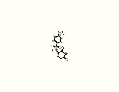 O=C1CCC(NS(=O)(=O)c2ccc([N+](=O)[O-])cc2)C(=O)N1